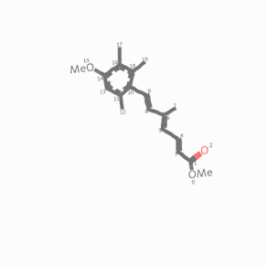 COC(=O)/C=C/C=C(C)/C=C/c1c(C)cc(OC)c(C)c1C